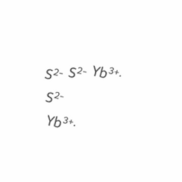 [S-2].[S-2].[S-2].[Yb+3].[Yb+3]